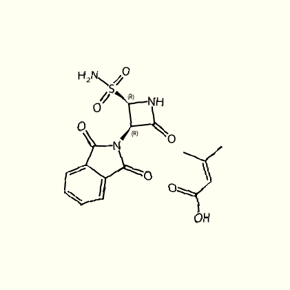 CC(C)=CC(=O)O.NS(=O)(=O)[C@H]1NC(=O)[C@H]1N1C(=O)c2ccccc2C1=O